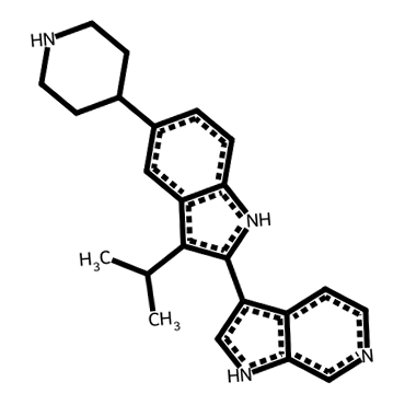 CC(C)c1c(-c2c[nH]c3cnccc23)[nH]c2ccc(C3CCNCC3)cc12